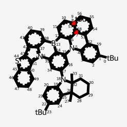 CC(C)(C)c1ccc(N2c3cc(C(C)(C)C)ccc3B3c4c2cc(N2c5ccc(C(C)(C)C)cc5C5(C)CCCCC25C)cc4-n2c4c3cccc4c3sc4ccccc4c32)c(-c2ccccc2)c1